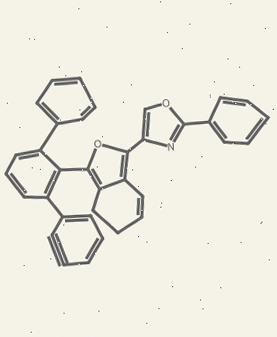 c1cccc(-c2cccc(-c3ccccc3)c2-c2oc(-c3coc(-c4ccccc4)n3)c3c2CCC=C3)c#1